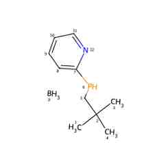 B.CC(C)(C)CPc1ccccn1